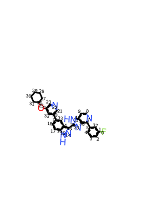 Fc1cccc(-c2nccc3[nH]c(-c4n[nH]c5ccc(-c6cncc(OC7CCCCC7)c6)cc45)nc23)c1